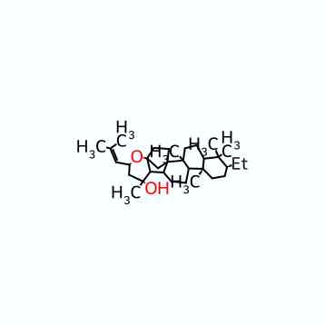 CC[C@H]1CC[C@@]2(C)C(CCC3(C)C2CCC2C4C(C)(O)CC(C=C(C)C)OC45CCC23C5)C1(C)C